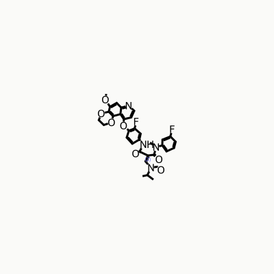 COc1cc2nccc(Oc3ccc(NC(=O)/C(=C/N(C=O)C(C)C)C(=O)N(C)c4cccc(F)c4)cc3F)c2c2c1OCCO2